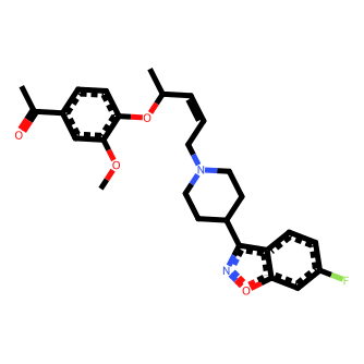 COc1cc(C(C)=O)ccc1OC(C)/C=C\CN1CCC(c2noc3cc(F)ccc23)CC1